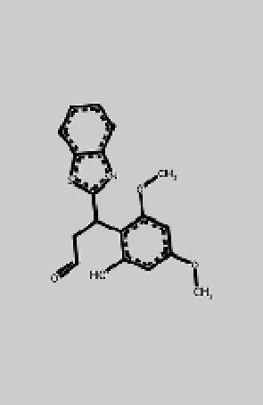 COc1cc(O)c(C(CC=O)c2nc3ccccc3s2)c(OC)c1